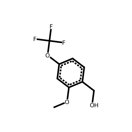 COc1cc(OC(F)(F)F)ccc1CO